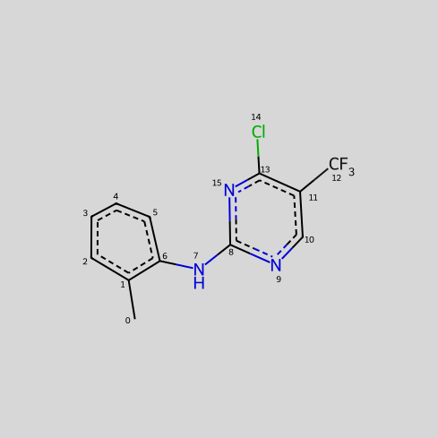 Cc1ccccc1Nc1ncc(C(F)(F)F)c(Cl)n1